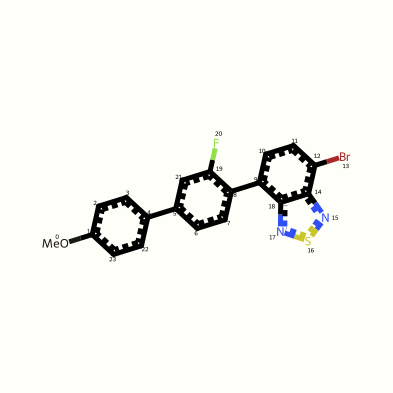 COc1ccc(-c2ccc(-c3ccc(Br)c4nsnc34)c(F)c2)cc1